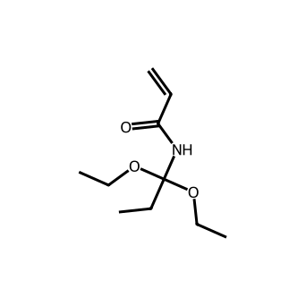 C=CC(=O)NC(CC)(OCC)OCC